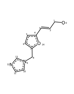 [O]CC=Cc1ccc(Cn2ccnc2)o1